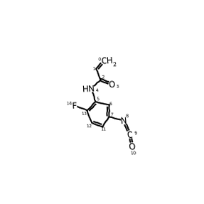 C=CC(=O)Nc1cc(N=C=O)ccc1F